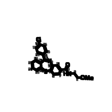 COCCNC(=O)c1ccc2c(c1)N=C(c1ccc(Cl)cc1)c1ccccc1S2